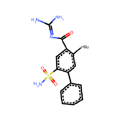 CCCCc1cc(-c2ccccc2)c(S(N)(=O)=O)cc1C(=O)N=C(N)N